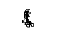 FC(F)(F)C(F)(F)C(F)(F)C(F)(F)C(F)(F)C(F)(F)CC[SiH2]OC(Cl)Cl